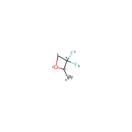 CC(C)C1OCC1(F)F